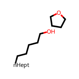 C1CCOC1.CCCCCCCCCCCCO